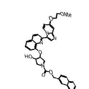 COCCOc1ccn2c(-c3ccc4cccc(OC5CN(C(=O)OCc6ccc7ccccc7c6)CC5O)c4n3)cnc2c1